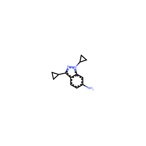 Nc1ccc2c(C3CC3)nn(C3CC3)c2c1